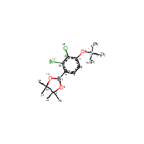 CC(C)[Si](Oc1ccc(B2OC(C)(C)C(C)(C)O2)c(Br)c1Cl)(C(C)C)C(C)C